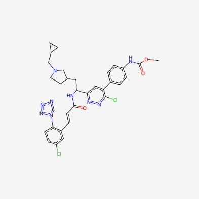 COC(=O)Nc1ccc(-c2cc(C(CC3CCN(CC4CC4)C3)NC(=O)C=Cc3cc(Cl)ccc3-n3cnnn3)nnc2Cl)cc1